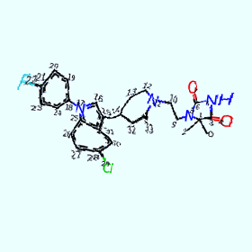 CC1(C)C(=O)NC(=O)N1CCN1CCC(c2cn(-c3ccc(F)cc3)c3ccc(Cl)cc23)CC1